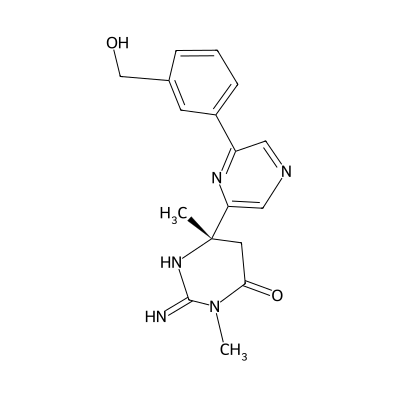 CN1C(=N)N[C@](C)(c2cncc(-c3cccc(CO)c3)n2)CC1=O